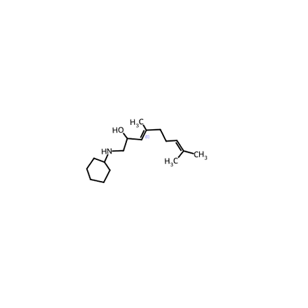 CC(C)=CCC/C(C)=C/C(O)CNC1CCCCC1